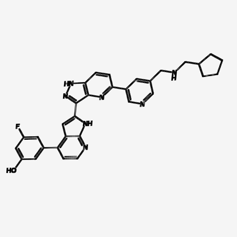 Oc1cc(F)cc(-c2ccnc3[nH]c(-c4n[nH]c5ccc(-c6cncc(CNCC7CCCC7)c6)nc45)cc23)c1